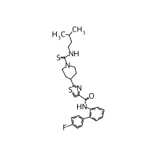 CC(C)CCNC(=S)N1CCC(c2nc(C(=O)Nc3ccccc3-c3ccc(F)cc3)cs2)CC1